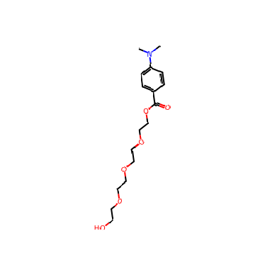 CN(C)c1ccc(C(=O)OCCOCCOCCOCCO)cc1